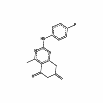 C=C1CC(=O)c2c(C)nc(Nc3ccc(F)cc3)nc2C1